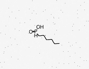 CCCC[CH]C[PH](=O)O